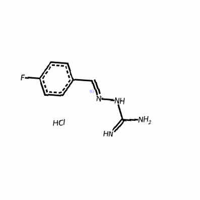 Cl.N=C(N)N/N=C/c1ccc(F)cc1